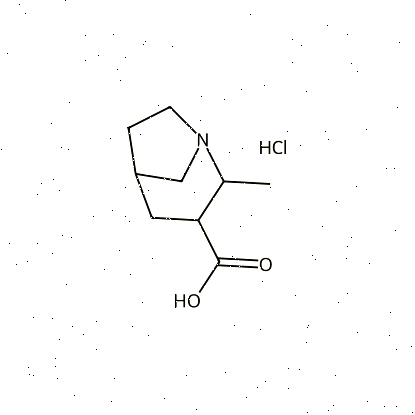 CC1C(C(=O)O)CC2CCN1C2.Cl